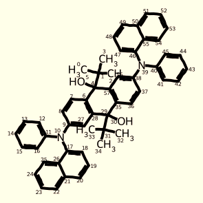 CC(C)(C)C1(O)c2ccc(N(c3ccccc3)c3cccc4ccccc34)cc2C(O)(C(C)(C)C)c2ccc(N(c3ccccc3)c3cccc4ccccc34)cc21